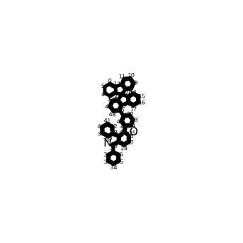 C1=C2C(=CCC1)C1(c3ccccc32)c2ccccc2-c2c(-c3ccc4oc5ccc6c(-c7ccccc7)nc7ccccc7c6c5c4c3)cccc21